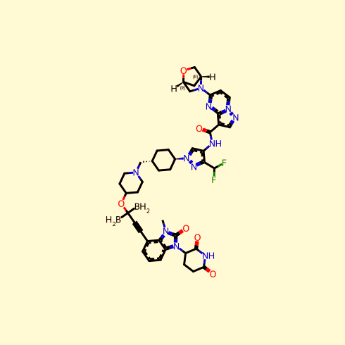 BC(B)(C#Cc1cccc2c1n(C)c(=O)n2C1CCC(=O)NC1=O)OC1CCN(C[C@H]2CC[C@H](n3cc(NC(=O)c4cnn5ccc(N6C[C@H]7C[C@@H]6CO7)nc45)c(C(F)F)n3)CC2)CC1